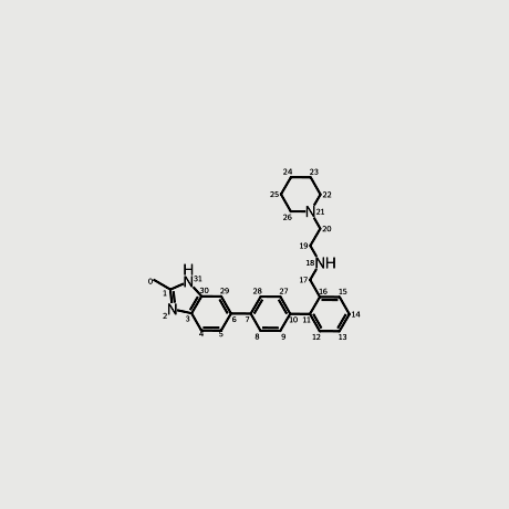 Cc1nc2ccc(-c3ccc(-c4ccccc4CNCCN4CCCCC4)cc3)cc2[nH]1